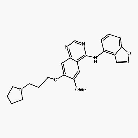 COc1cc2c(Nc3cccc4occc34)ncnc2cc1OCCCN1CCCC1